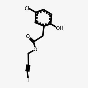 O=C(Cc1cc(Cl)ccc1O)OCC#CI